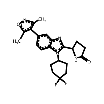 Cc1noc(C)c1-c1ccc2c(c1)nc(C1CCC(=O)N1)n2C1CCC(F)(F)CC1